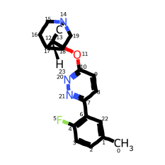 Cc1ccc(F)c(-c2ccc(O[C@H]3CN4CCC3CC4)nn2)c1